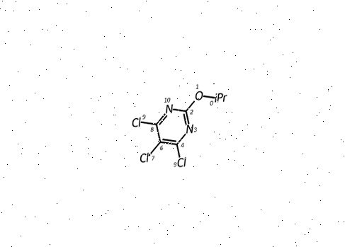 CC(C)Oc1nc(Cl)c(Cl)c(Cl)n1